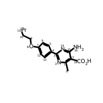 Cc1nc(-c2ccc(OCCC(C)C)cc2)nc(N)c1C(=O)O